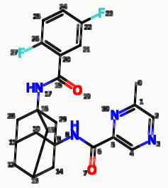 Cc1cncc(C(=O)NC23CC4CC(C2)CC(NC(=O)c2cc(F)ccc2F)(C4)C3)n1